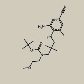 COCCN(CC(C)(C)CNc1c(N)cc(C#N)cc1I)C(=O)OC(C)(C)C